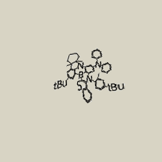 Cc1cc(C(C)(C)C)ccc1N1c2cc(N(c3ccccc3)c3ccccc3)cc3c2B(c2cc(C(C)(C)C)cc4c2N3C2(C)CCCCC42C)c2sc3ccccc3c21